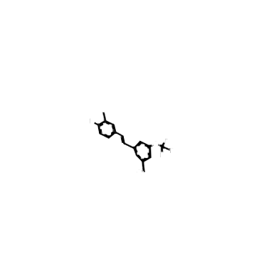 Cc1cc(/C=C/c2cc(C=O)cc(OC(F)(F)F)c2)ccc1F